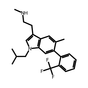 CNCCc1cn(CC(C)C)c2cc(-c3ccccc3C(F)(F)F)c(C)cc12